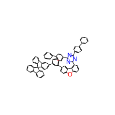 c1ccc(-c2ccc(-c3nc(-c4ccc(-c5ccccc5)cc4)nc(-c4cccc5oc6ccc(-c7cccc(-c8ccc9c(c8)-c8ccccc8C98c9ccccc9-c9ccccc98)c7)cc6c45)n3)cc2)cc1